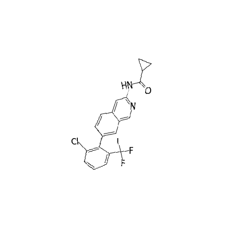 O=C(Nc1cc2ccc(-c3c(Cl)cccc3C(F)(F)I)cc2cn1)C1CC1